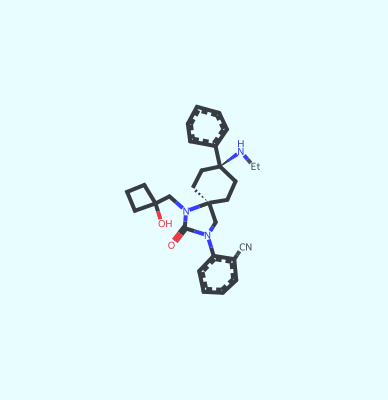 CCN[C@]1(c2ccccc2)CC[C@]2(CC1)CN(c1ccccc1C#N)C(=O)N2CC1(O)CCC1